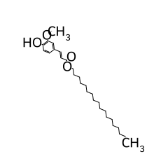 CCCCCCCCCCCCCCCCCCOC(=O)C=Cc1ccc(O)c(OC)c1